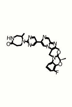 Cc1nc2cnc(-c3cnc(N4CCC(=O)NCC4C)nc3)cn2c1CN1C(=O)[C@@H](C)Oc2c(F)cccc21